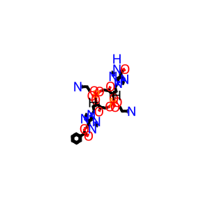 N#CCCOP1(=O)OCC2OC(n3cnc4c(=O)[nH]cnc43)C[C@@H]2OP(=O)(OCCC#N)OCC2OC(n3cnc4c(OC(=O)c5ccccc5)ncnc43)C[C@@H]2O1